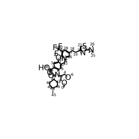 COCC(COC)N(c1cc(F)c(Oc2ncc(CCc3csc(N(C)C)n3)cc2C(F)(F)F)cc1C(=O)O)C(=O)[C@H]1CC[C@H](C)CC1